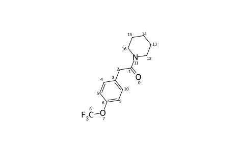 O=C(Cc1ccc(OC(F)(F)F)cc1)N1CCCCC1